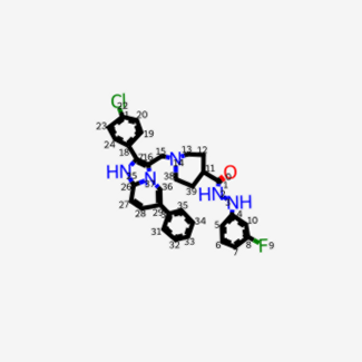 O=C(NNc1cccc(F)c1)C1CCN(CC2=C(c3ccc(Cl)cc3)NC3C=CC(c4ccccc4)=CN23)CC1